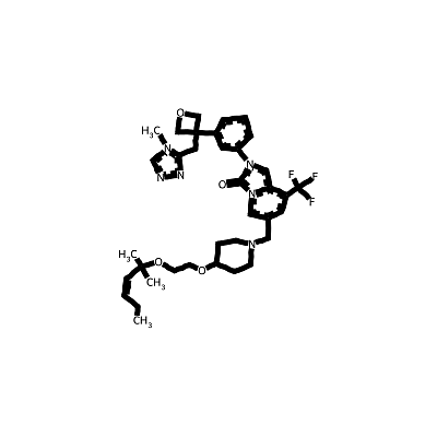 CC/C=C\C(C)(C)OCCOC1CCN(Cc2cc(C(F)(F)F)c3cn(-c4cccc(C5(Cc6nncn6C)COC5)c4)c(=O)n3c2)CC1